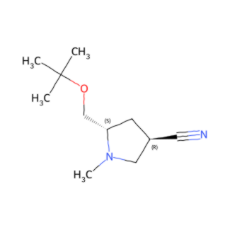 CN1C[C@H](C#N)C[C@H]1COC(C)(C)C